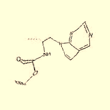 C[C@H](Cn1ccc2cncnc21)NC(=O)OC(C)(C)C